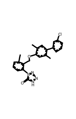 Cc1cc(-c2cccc(Cl)c2)c(C)cc1OCc1c(C)cccc1-n1nn[nH]c1=O